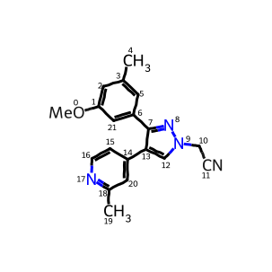 COc1cc(C)cc(-c2nn(CC#N)cc2-c2ccnc(C)c2)c1